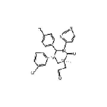 C[C@]1(CC=O)C[C@H](c2cccc(Cl)c2)C(c2ccc(Cl)cc2)N(c2ccncn2)C1=O